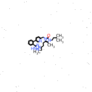 CCCCCc1c(C)n(CCC(C)C)c(=O)n1Cc1ccc(-c2ccccc2-c2nnn[nH]2)cn1